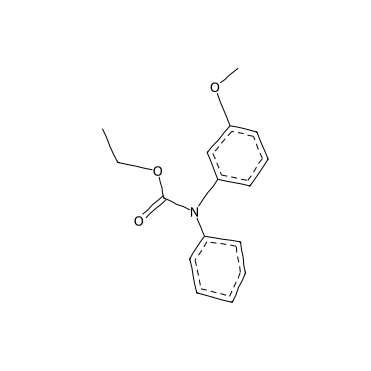 CCOC(=O)N(c1ccccc1)c1cccc(OC)c1